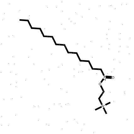 CCCCCCCCCCCCCC[PH](=O)OCC[N+](C)(C)C